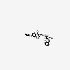 CCCOc1ccc2c(c1)OCN(CCOC1SC(=O)N(Cc3ccccc3)C1=O)C2=O